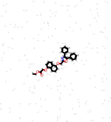 CCOC(=O)COc1cccc2c1CCC[C@@H]2OCc1nc(-c2ccccc2)c(-c2ccccc2)o1